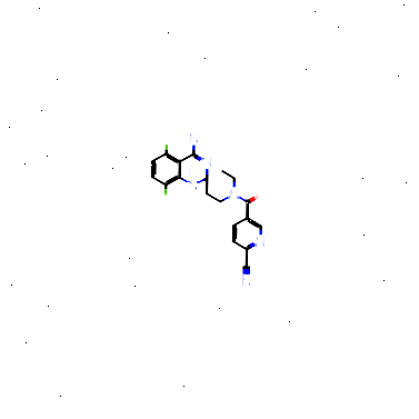 N#Cc1ccc(C(=O)N2CC[C@]3(N=C(N)c4c(F)ccc(F)c4N3)[C@@H](F)C2)cn1